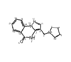 O=c1[nH]c2c(CN3CCCC3)cnn2c2ccccc12